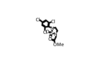 COC(=O)CN1CCN(c2c(Cl)cc(Cl)cc2Cl)S1(=O)=O